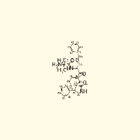 CC(C)(N)C(=O)N[C@H](COCc1ccccc1)C(=O)N1CCCC2(C1)C(=O)NCC2c1ccccc1